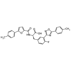 Cc1ccc(-c2ccc(C(=O)N[C@H](Cc3ccc(F)c(-c4noc(-c5ccc(C)cc5)n4)c3)C(=O)O)o2)cc1